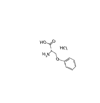 Cl.NC(COc1ccccc1)C(=O)O